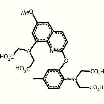 COc1cc(N(CC(=O)O)CC(=O)O)c2nc(Oc3cc(C)ccc3N(CC(=O)O)CC(=O)O)ccc2c1